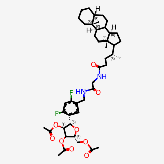 CC(=O)OC[C@H]1O[C@@H](c2cc(CNC(=O)CNC(=O)CC[C@@H](C)C3CC[C@@H]4C5CC[C@H]6CCCC[C@@]6(C)[C@@H]5CC[C@@]34C)c(F)cc2F)[C@H](OC(C)=O)C1OC(C)=O